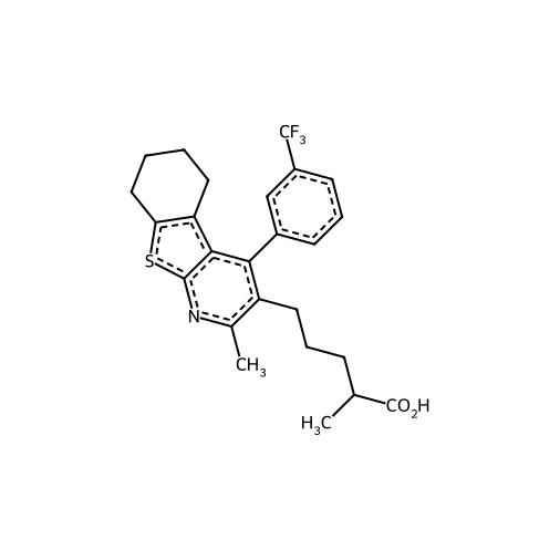 Cc1nc2sc3c(c2c(-c2cccc(C(F)(F)F)c2)c1CCCC(C)C(=O)O)CCCC3